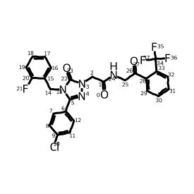 O=C(Cn1nc(-c2ccc(Cl)cc2)n(Cc2ccccc2F)c1=O)NCC(=O)c1ccccc1C(F)(F)F